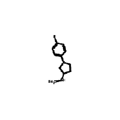 O=C(O)N[C@@H]1CCN(c2ccc(F)cc2)C1